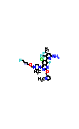 Cc1cc(N)nc(-c2c(Cl)cc3c(N4CCN(COC/C=C/CF)C[C@@H]4C)nc(OC[C@@H]4CCCN4C)nc3c2F)c1C(F)(F)F